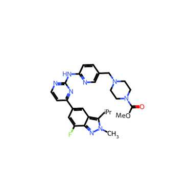 COC(=O)N1CCN(Cc2ccc(Nc3nccc(-c4cc(F)c5nn(C)c(C(C)C)c5c4)n3)nc2)CC1